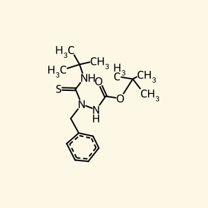 CC(C)(C)NC(=S)N(Cc1ccccc1)NC(=O)OC(C)(C)C